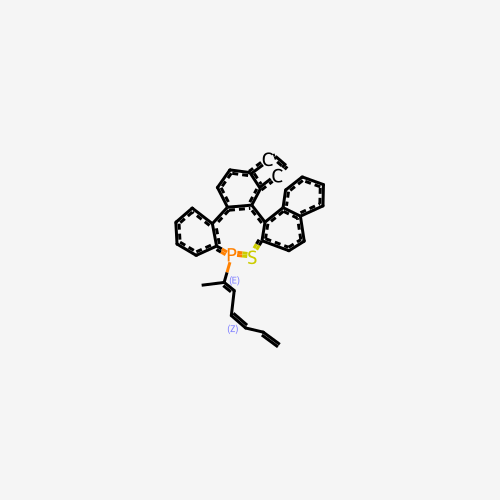 C=C/C=C\C=C(/C)p1sc2ccc3ccccc3c2c2c3ccccc3ccc2c2ccccc21